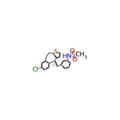 CS(=O)(=O)Nc1cccc(/C=C2/c3ccc(Cl)cc3CCc3sccc32)c1